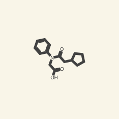 O=C(O)CN(C(=O)CC1CCCC1)c1ccccc1